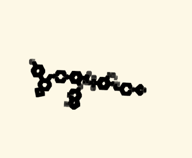 O=C(NS(=O)(=O)c1ccc(NCC2CCN(C3COC3)CC2)c([N+](=O)[O-])c1)c1ccc(N2CCN(CC3=C(c4ccc(Cl)cc4)CC4(CCC4)CC3)CC2)cc1Oc1cnc2[nH]ccc2c1